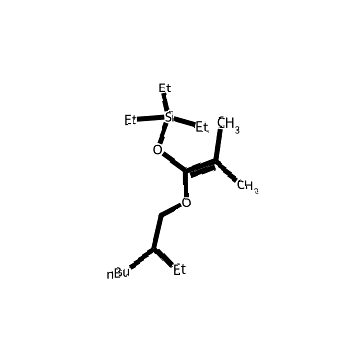 CCCCC(CC)COC(O[Si](CC)(CC)CC)=C(C)C